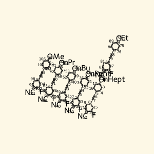 CCCCCCCOc1ccc(C#Cc2ccc(C#N)c(F)c2)cc1.CCCCCOc1ccc(C#Cc2ccc(C#N)c(F)c2)cc1.CCCCOc1ccc(C#Cc2ccc(C#N)c(F)c2)cc1.CCCOc1ccc(C#Cc2ccc(C#N)c(F)c2)cc1.CCOc1ccc(C#Cc2ccc(C#N)c(F)c2)cc1.COc1ccc(C#Cc2ccc(C#N)c(F)c2)cc1